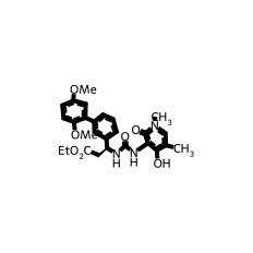 CCOC(=O)C[C@H](NC(=O)Nc1c(O)c(C)cn(C)c1=O)c1cccc(-c2cc(OC)ccc2OC)c1